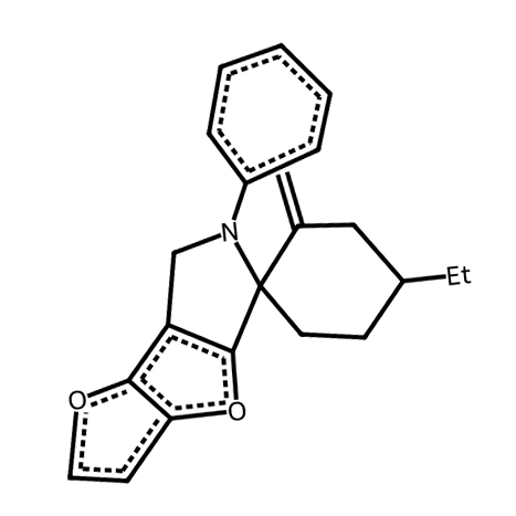 C=C1CC(CC)CCC12c1oc3ccoc3c1CN2c1ccccc1